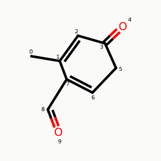 CC1=CC(=O)CC=C1[C]=O